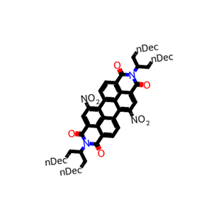 CCCCCCCCCCCC(CCCCCCCCCCC)N1C(=O)c2ccc3c4c([N+](=O)[O-])cc5c6c(ccc(c7c([N+](=O)[O-])cc(c2c37)C1=O)c64)C(=O)N(C(CCCCCCCCCCC)CCCCCCCCCCC)C5=O